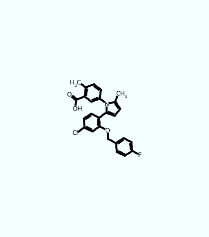 Cc1ccc(-n2c(C)ccc2-c2ccc(Cl)cc2OCc2ccc(F)cc2)cc1C(=O)O